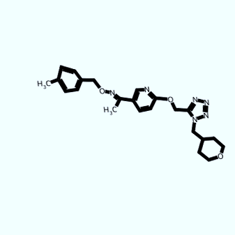 C/C(=N\OCc1ccc(C)cc1)c1ccc(OCc2nnnn2CC2CCOCC2)nc1